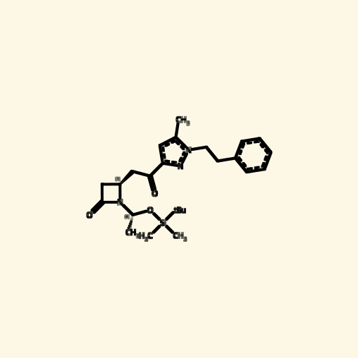 Cc1cc(C(=O)C[C@@H]2CC(=O)N2[C@@H](C)O[Si](C)(C)C(C)(C)C)nn1CCc1ccccc1